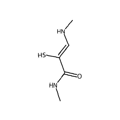 CN/C=C(\S)C(=O)NC